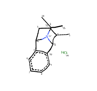 CC1CCC2c3ccccc3C1N2C(C)C.Cl